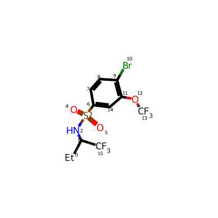 CCC(NS(=O)(=O)c1ccc(Br)c(OC(F)(F)F)c1)C(F)(F)F